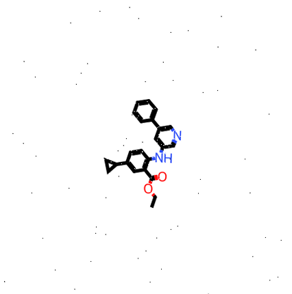 CCOC(=O)c1cc(C2CC2)ccc1Nc1cncc(-c2ccccc2)c1